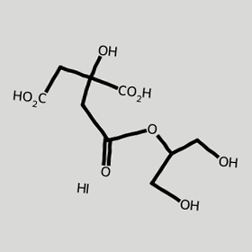 I.O=C(O)CC(O)(CC(=O)OC(CO)CO)C(=O)O